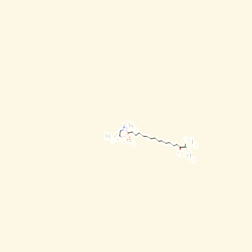 CC(C)CN(C)C(=O)CCCCCCCCCCCCCC(=O)C(C)C